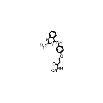 Cc1nc(Nc2ccc(OCCC(=O)NN=O)cc2)c2ccccc2n1